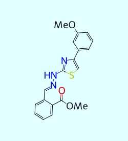 COC(=O)c1ccccc1/C=N/Nc1nc(-c2cccc(OC)c2)cs1